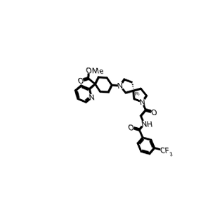 COC(=O)C1(c2ccccn2)CCC(N2CC[C@@]3(CCN(C(=O)CNC(=O)c4cccc(C(F)(F)F)c4)C3)C2)CC1